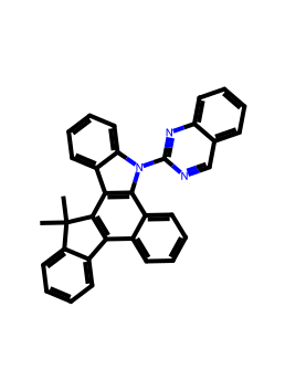 CC1(C)c2ccccc2-c2c1c1c3ccccc3n(-c3ncc4ccccc4n3)c1c1ccccc21